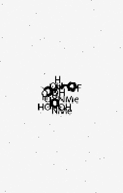 CN[C@@H]1[C@H](O)[C@H](NC)[C@H]2O[C@]3(O)[C@H](OC2[C@H]1O)O[C@H](C)C[C@@]3(O)CNCCc1ccc(F)cc1